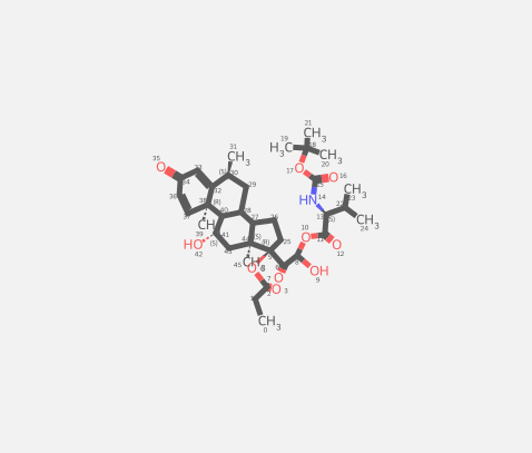 CCC(=O)O[C@]1(C(=O)C(O)OC(=O)[C@@H](NC(=O)OC(C)(C)C)C(C)C)CCC2C3C[C@H](C)C4=CC(=O)C=C[C@]4(C)C3[C@@H](O)C[C@@]21C